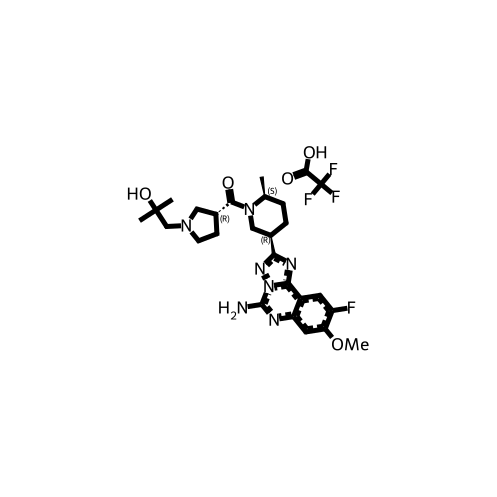 COc1cc2nc(N)n3nc([C@@H]4CC[C@H](C)N(C(=O)[C@@H]5CCN(CC(C)(C)O)C5)C4)nc3c2cc1F.O=C(O)C(F)(F)F